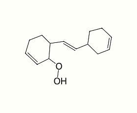 OOC1C=CCCC1/C=C/C1CC=CCC1